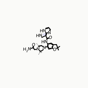 C[C@@H]1CN(c2cc3c(cc2NC(=O)/C(C=N)=C2\N=CC=CN2)CC(C)(C)O3)C[C@H](C)N1CC(N)=O